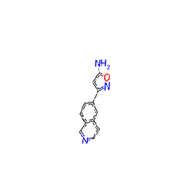 Nc1cc(-c2ccc3cnccc3c2)no1